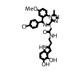 COc1ccc2c(c1)C(c1ccc(Cl)cc1)=N[C@@H](CC(=O)NCCc1cc3c(O)c(O)ccc3[nH]1)c1nnc(C)n1-2